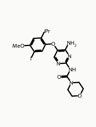 COc1cc(C(C)C)c(Oc2cnc(NC(=O)N3CCOCC3)nc2N)cc1I